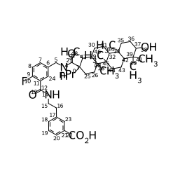 CCCC1(C(=O)NCc2ccc(F)c(C(=O)NCCc3cccc(C(=O)O)c3)c2)CC[C@]2(C)C(CCC3C4(C)CCC(O)C(C)(C)C4CCC32C)C1C